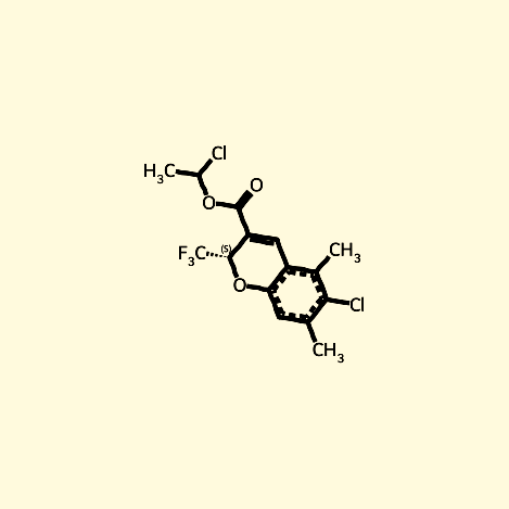 Cc1cc2c(c(C)c1Cl)C=C(C(=O)OC(C)Cl)[C@@H](C(F)(F)F)O2